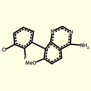 COc1ccc2c(N)ncnc2c1-c1cccc(Cl)c1F